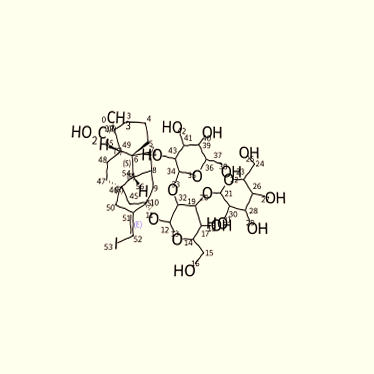 C[C@@]1(C(=O)O)CCC[C@]23CC4C[C@]5(OC6OC(CO)C(O)C(OC7OC(CO)C(O)C(O)C7O)C6OC6OC(CO)C(O)C(O)C6O)C[C@@](CC[C@@H]21)(C/C5=C\I)[C@@H]43